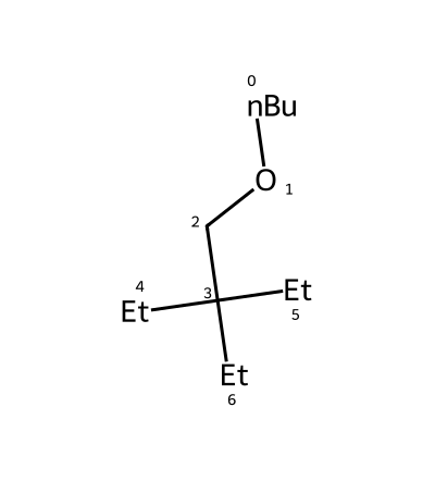 CCCCOCC(CC)(CC)CC